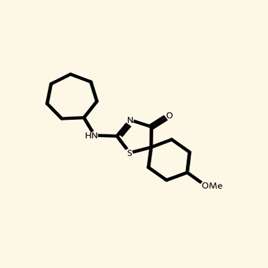 COC1CCC2(CC1)SC(NC1CCCCCC1)=NC2=O